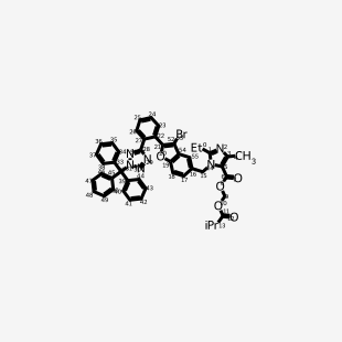 CCc1nc(C)c(C(=O)OCOC(=O)C(C)C)n1Cc1ccc2oc(-c3ccccc3-c3nnn(C(c4ccccc4)(c4ccccc4)c4ccccc4)n3)c(Br)c2c1